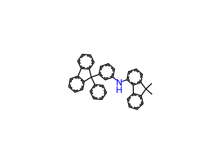 CC1(C)c2ccccc2-c2c(Nc3cccc(C4(c5ccccc5)c5ccccc5-c5ccccc54)c3)cccc21